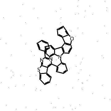 c1ccc(-c2nc(-c3ccccc3-n3c4ccccc4c4c5c(ccc43)oc3ccccc35)c3c(n2)sc2ccccc23)cc1